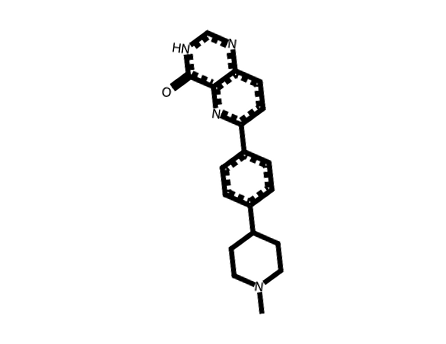 CN1CCC(c2ccc(-c3ccc4nc[nH]c(=O)c4n3)cc2)CC1